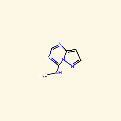 CNc1ncnc2ccnn12